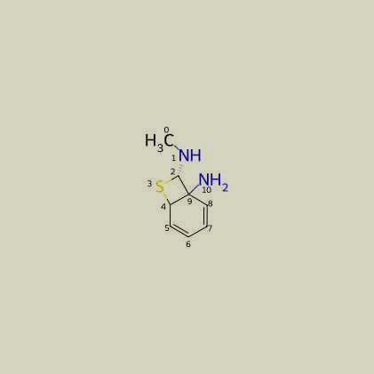 CN[C@H]1SC2C=CC=CC21N